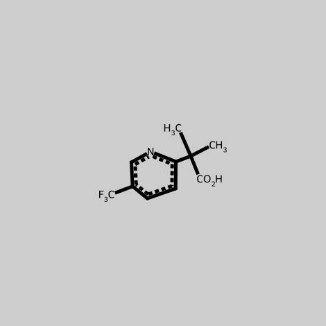 CC(C)(C(=O)O)c1ccc(C(F)(F)F)cn1